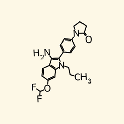 CCCn1c(-c2ccc(N3CCCC3=O)cc2)c(N)c2ccc(OC(F)F)cc21